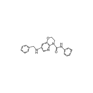 O=C(Nc1ccccc1)N1CCOc2cc(NCc3ccccc3)cnc21